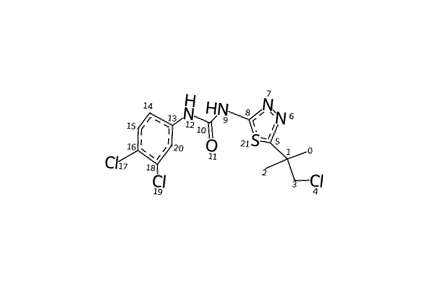 CC(C)(CCl)c1nnc(NC(=O)Nc2ccc(Cl)c(Cl)c2)s1